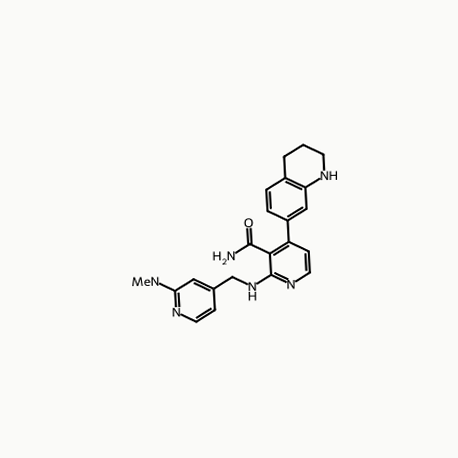 CNc1cc(CNc2nccc(-c3ccc4c(c3)NCCC4)c2C(N)=O)ccn1